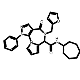 O=C(NC1CCCCCC1)C1c2cccn2-c2c(cnn2-c2ccccc2)C(=O)N1Cc1ccco1